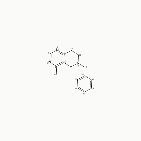 Cc1ncnc2c1CN(Cc1ccccc1)CC2